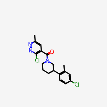 Cc1cc(C(=O)N2CCCC(c3ccc(Cl)cc3C)C2)c(Cl)nn1